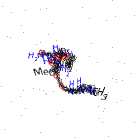 C=C1C[C@@H](C2OCCN2C(=O)[C@H](CCCNC(N)=O)NC(=O)C(NC(=O)OCC2c3ccccc3-c3ccccc32)C(C)C)N(C(=O)c2cc(OC)c(OCCCCCOc3ccc(-c4nc5ccc(-c6nc7cc(N8CCN(C)CC8)ccc7[nH]6)cc5[nH]4)cc3)cc2N)C1